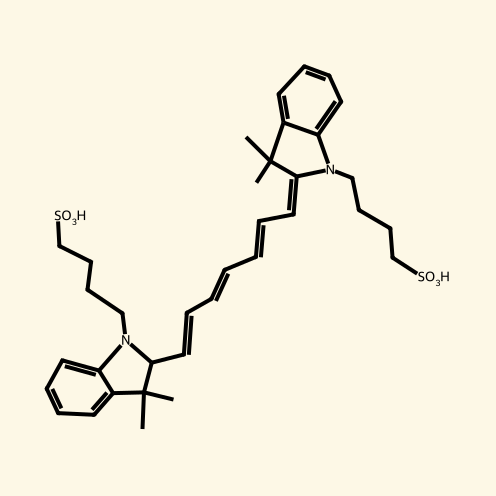 CC1(C)\C(=C/C=C/C=C/C=C/C2N(CCCCS(=O)(=O)O)c3ccccc3C2(C)C)N(CCCCS(=O)(=O)O)c2ccccc21